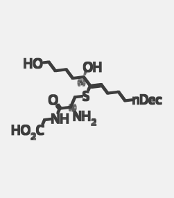 CCCCCCCCCCCCCC=C(SC[C@H](N)C(=O)NCC(=O)O)[C@@H](O)CCCCO